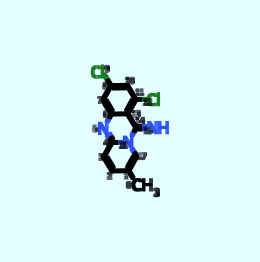 Cc1ccc2nc3cc(Cl)cc(Cl)c3c(=N)n2c1